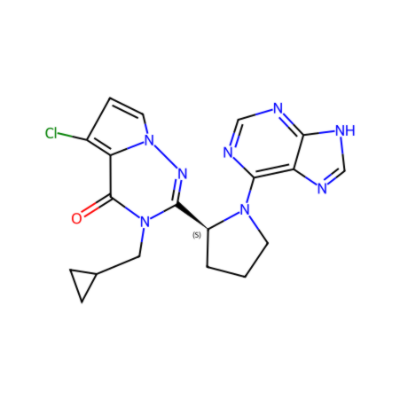 O=c1c2c(Cl)ccn2nc([C@@H]2CCCN2c2ncnc3[nH]cnc23)n1CC1CC1